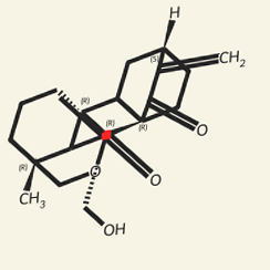 C=C1C(=O)[C@]23CC[C@H]1CC2[C@@]12CCC[C@@](C)(COC1)C2[C@H](CO)C3=O